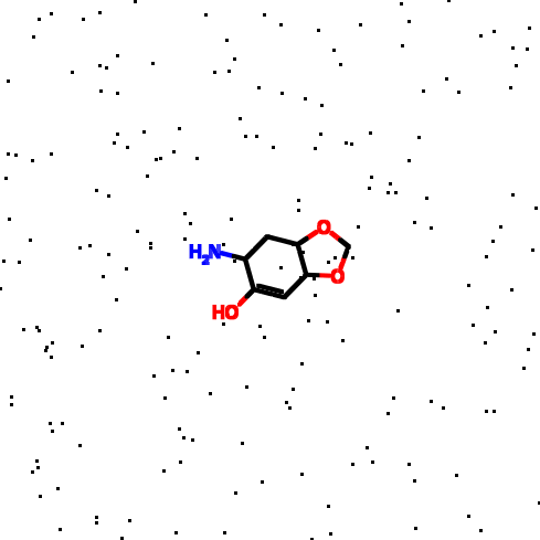 NC1CC2OCOC2C=C1O